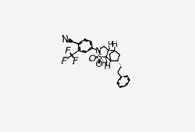 N#Cc1ccc(N2C[C@@H]3[C@@H]4C[C@H](CCc5ccccc5)[C@@H](C4)[C@@H]3S2(=O)=O)cc1C(F)(F)F